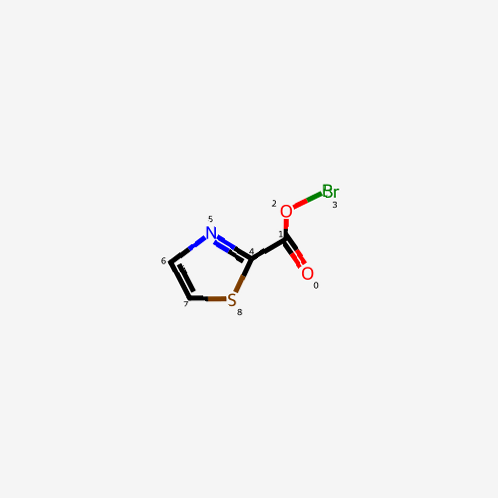 O=C(OBr)c1nccs1